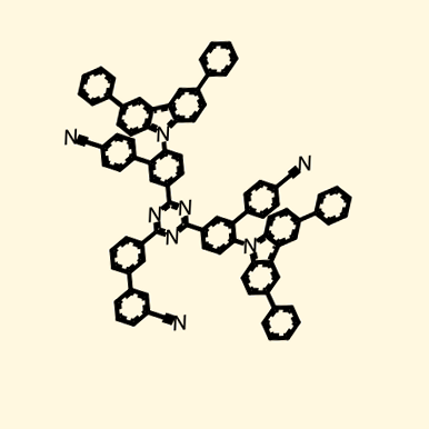 N#Cc1ccc(-c2cc(-c3nc(-c4cccc(-c5cccc(C#N)c5)c4)nc(-c4ccc(-n5c6ccc(-c7ccccc7)cc6c6cc(-c7ccccc7)ccc65)c(-c5ccc(C#N)cc5)c4)n3)ccc2-n2c3ccc(-c4ccccc4)cc3c3cc(-c4ccccc4)ccc32)cc1